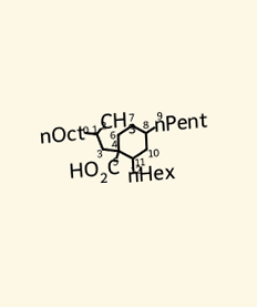 CCCCCCCCC(C)CC1(C(=O)O)CCC(CCCCC)CC1CCCCCC